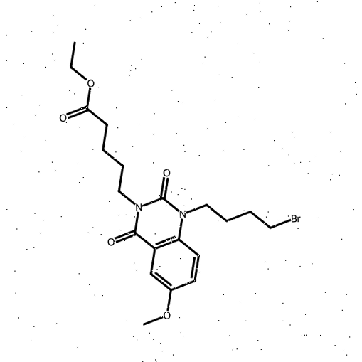 CCOC(=O)CCCCn1c(=O)c2cc(OC)ccc2n(CCCCBr)c1=O